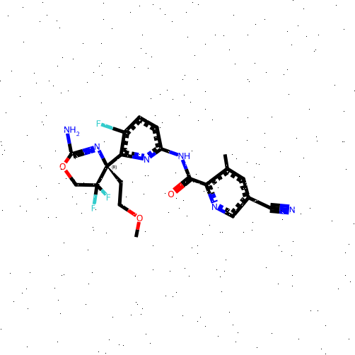 COCC[C@]1(c2nc(NC(=O)c3ncc(C#N)cc3C)ccc2F)N=C(N)OCC1(F)F